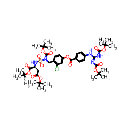 CC(C)(C)OC(=O)C[C@H](NS(=O)(=O)N(Cc1ccc(OC(=O)c2ccc(NC(=NC(=O)OC(C)(C)C)NC(=O)OC(C)(C)C)cc2)cc1Cl)C(=O)OC(C)(C)C)C(=O)OC(C)(C)C